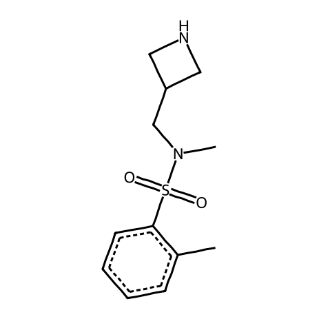 Cc1ccccc1S(=O)(=O)N(C)CC1CNC1